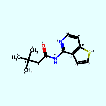 CC(C)(C)CC(=O)Nc1nccc2sccc12